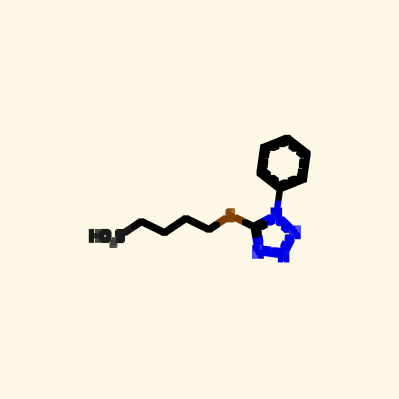 O=S(=O)(O)CCCCSc1nnnn1-c1ccccc1